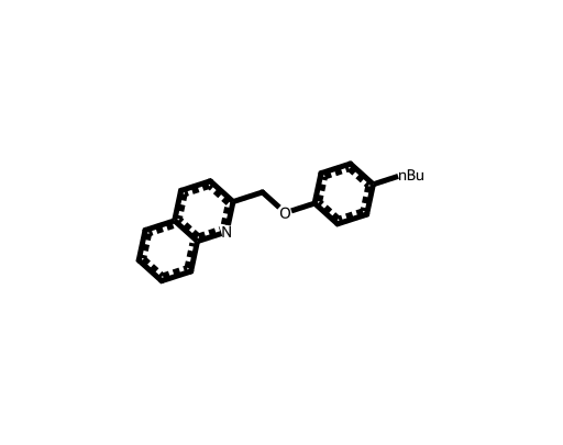 CCCCc1ccc(OCc2ccc3ccccc3n2)cc1